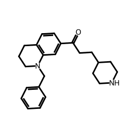 O=C(CCC1CCNCC1)c1ccc2c(c1)N(Cc1ccccc1)CCC2